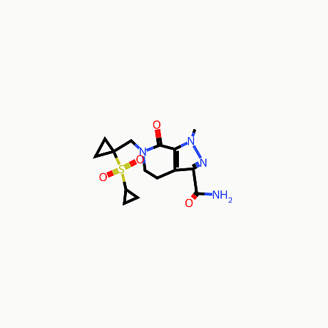 Cn1nc(C(N)=O)c2c1C(=O)N(CC1(S(=O)(=O)C3CC3)CC1)CC2